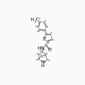 Cc1ccc(-c2ccc(C(=O)NC3CC4CC3CN4)s2)cc1